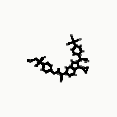 CCS(=O)(=O)c1ccc(CNC(=O)c2ccc3c(c2)nc(C(C)c2ccc(C(F)(F)F)cc2)n3C2CC2)cc1